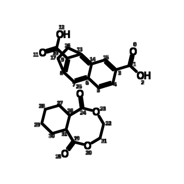 O=C(O)c1ccc2cc3c(C(=O)O)c(c2c1)CC3.O=C1OCCOC(=O)C2CCCCC12